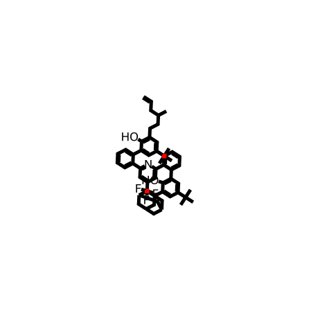 C=CCC(C)CCc1cc(C(C)(C)C)cc(-c2ccccc2-c2cc(C(F)(F)F)cc(-c3ccccc3-c3cc(C(C)(C)C)cc(C45CC6CC(CC(C6)C4)C5)c3O)n2)c1O